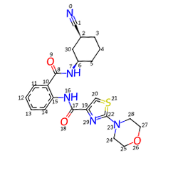 N#C[C@H]1CCC[C@@H](NC(=O)c2ccccc2NC(=O)c2csc(N3CCOCC3)n2)C1